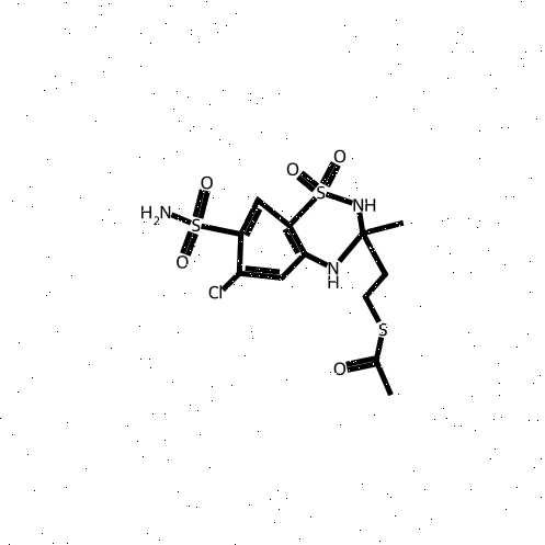 CC(=O)SCCC1(C)Nc2cc(Cl)c(S(N)(=O)=O)cc2S(=O)(=O)N1